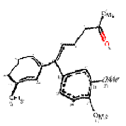 COC(=O)CC/C=C(/C1=CCCC(C)=C1)c1ccc(OC)c(OC)c1